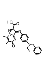 CCN(Cc1ccccc1)c1ccc(N=C2C(C(=O)O)=Nn3c2nc(=O)c(C)c3C)cc1